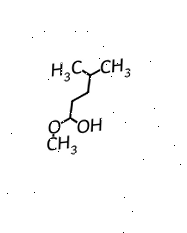 COC(O)CCC(C)C